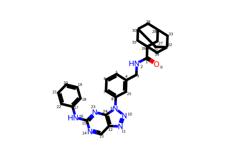 O=C(NCc1cccc(-n2nnc3cnc(Nc4ccccc4)nc32)c1)C12CC3CC(CC(C3)C1)C2